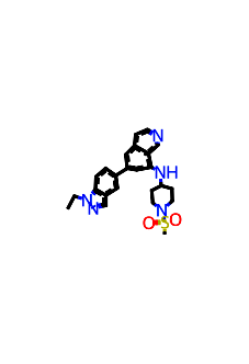 CCn1ncc2cc(-c3cc(NC4CCN(S(C)(=O)=O)CC4)c4cnccc4c3)ccc21